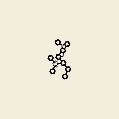 c1ccc(-c2cccc(-c3ccc(-c4cccc5c4sc4cc6c7ccccc7n(-c7ccccc7)c6cc45)c(-c4nc(-c5ccccc5)nc(-c5ccccc5)n4)c3)c2)cc1